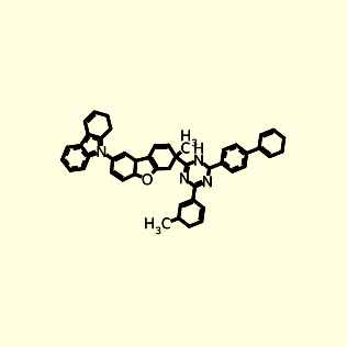 CC1C=C(C2=NC(c3ccc(C4=CCCC=C4)cc3)NC(C3(C)C=CC4=C(C3)OC3C=CC(n5c6c(c7ccccc75)C=CCC6)=CC43)=N2)C=CC1